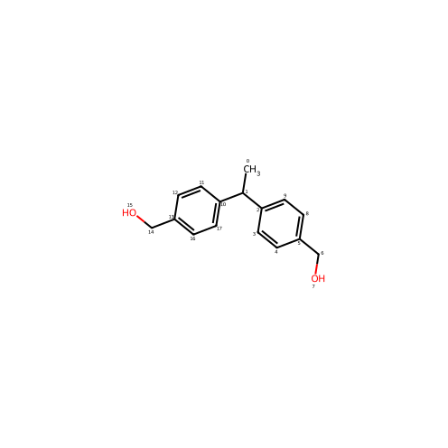 CC(c1ccc(CO)cc1)c1ccc(CO)cc1